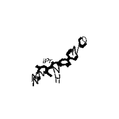 Cc1cc(-c2[nH]c3ccc(C4CCN(C5CCOCC5)CC4)cc3c2C(C)C)c(C)n2cnnc12